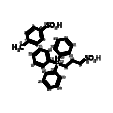 Cc1ccc(S(=O)(=O)O)cc1.O=S(=O)(O)CCC[PH](c1ccccc1)(c1ccccc1)c1ccccc1